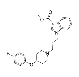 COC(=O)c1cn(CCCN2CCC(Oc3ccc(F)cc3)CC2)c2ccccc12